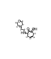 O=C1C(NCCN2CCOCC2)CC=CCN1O